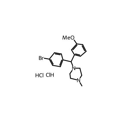 COc1cccc(C(c2ccc(Br)cc2)N2CCN(C)CC2)c1.Cl.Cl